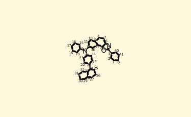 c1ccc(-c2nc3ccc4ccc(N(c5ccccc5)c5ccc(-c6cccc7ccccc67)cc5)cc4c3o2)cc1